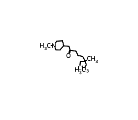 CCC(C)(CC)CCCC(=O)CC1CCN(C)CC1